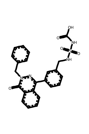 O=C(O)NS(=O)(=O)NCc1cccc(-c2nn(Cc3ccccc3)c(=O)c3ccccc23)c1